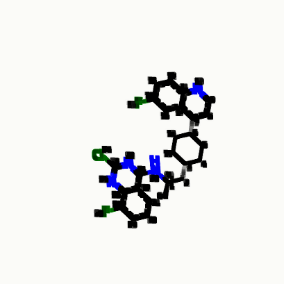 C[C@H](C[C@H]1CC[C@@H](c2ccnc3ccc(F)cc32)CC1)Nc1nc(Cl)nc2c(F)cccc12